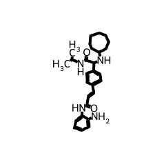 CC(C)NC(=O)C(NC1CCCCCCC1)c1ccc(/C=C/C(=O)Nc2ccccc2N)cc1